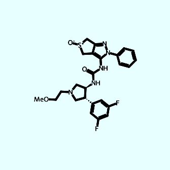 COCCN1C[C@@H](NC(=O)Nc2c3c(nn2-c2ccccc2)C[S+]([O-])C3)[C@H](c2cc(F)cc(F)c2)C1